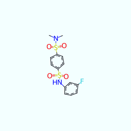 CN(C)S(=O)(=O)c1ccc(S(=O)(=O)Nc2cccc(F)c2)cc1